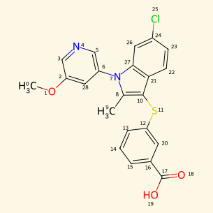 COc1cncc(-n2c(C)c(Sc3cccc(C(=O)O)c3)c3ccc(Cl)cc32)c1